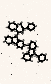 c1ccc(-c2nc(-n3c4ccccc4c4ccc(-c5cccc6c5c5ccccc5n6-c5ccccc5)cc43)c3ccccc3n2)cc1